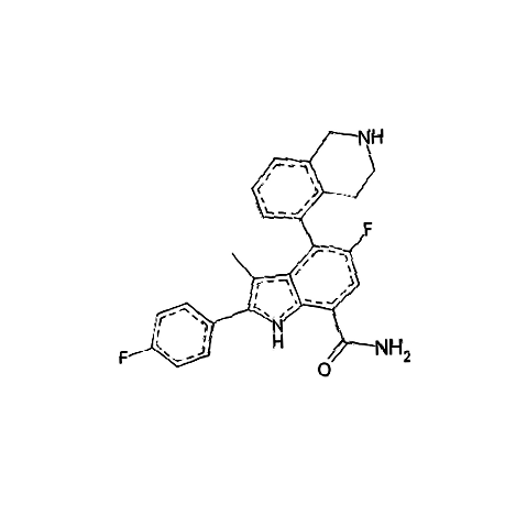 Cc1c(-c2ccc(F)cc2)[nH]c2c(C(N)=O)cc(F)c(-c3cccc4c3CCNC4)c12